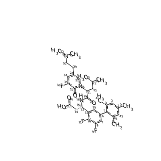 Cc1cc(C)c(-c2cc(F)c(F)c([C@H](CC(=O)O)NC(=O)C(CC(C)C)n3cc(CCN(C)C)cc(F)c3=O)c2)c(C)c1